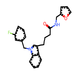 O=C(CCCc1cn(Cc2cccc(F)c2)c2ccccc12)NCc1ccco1